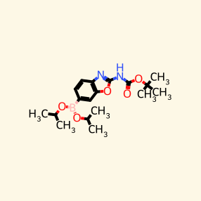 CC(C)OB(OC(C)C)c1ccc2nc(NC(=O)OC(C)(C)C)oc2c1